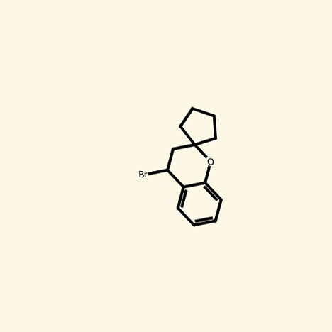 BrC1CC2(CCCC2)Oc2ccccc21